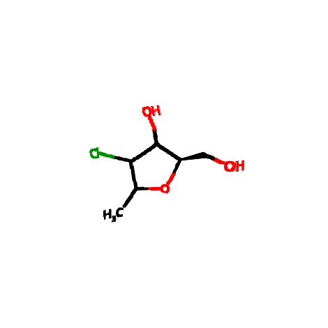 CC1O[C@H](CO)C(O)C1Cl